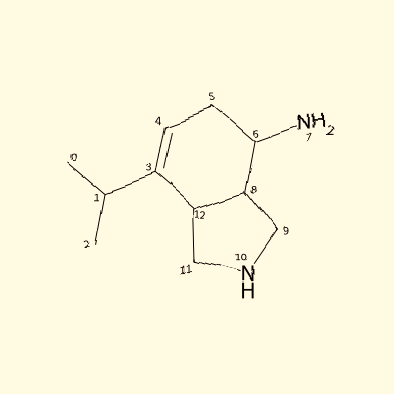 CC(C)C1=CCC(N)C2CNCC12